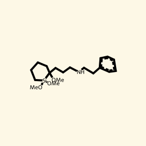 COC1(CCCNCCc2ccccc2)CCCC[Si]1(OC)OC